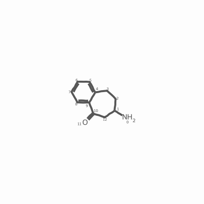 NC1CCc2ccccc2C(=O)C1